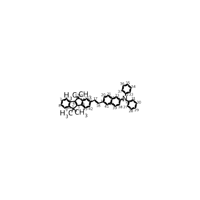 CC1(C)C2=C(c3ccccc31)C(C)(C)c1cc(/C=C/c3ccc4cc(N(c5ccccc5)c5ccccc5)ccc4c3)ccc12